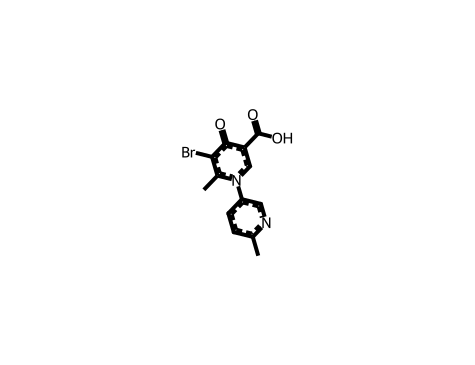 Cc1ccc(-n2cc(C(=O)O)c(=O)c(Br)c2C)cn1